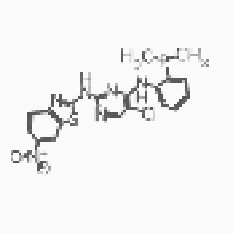 CP(C)c1ccccc1Nc1nc(Nc2nc3ccc([N+](=O)[O-])cc3s2)ncc1Cl